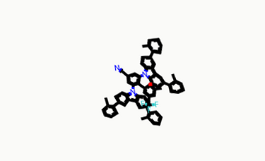 Cc1cc(-c2c(-n3c4ccc(-c5ccccc5C)cc4c4cc(-c5ccccc5C)ccc43)cc(C#N)cc2-n2c3ccc(-c4ccccc4C)cc3c3cc(-c4ccccc4C)ccc32)cc(C(F)(F)F)c1